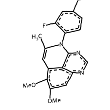 COc1cc2ncnc3c2c(c1OC)C=C(C)N3c1ccc(Br)cc1F